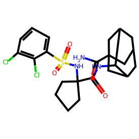 NC(=O)C12CC3CC(C1)C(NC(=O)C1(NS(=O)(=O)c4cccc(Cl)c4Cl)CCCC1)C(C3)C2